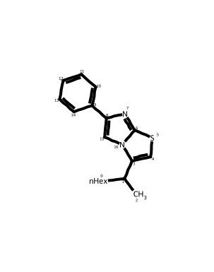 CCCCCCC(C)c1csc2nc(-c3cc[c]cc3)cn12